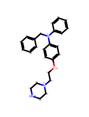 c1ccc(CN(c2ccccc2)c2ccc(OCCN3CCNCC3)cc2)cc1